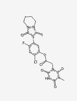 Cn1c(=O)[nH]c(=O)n(CC(=O)Oc2cc(-n3c(=O)n4n(c3=S)CCCC4)c(F)cc2Cl)c1=O